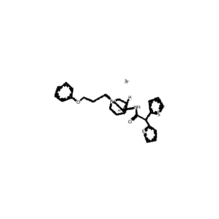 O=C(N[C@H]1C[N+]2(CCCOc3ccccc3)CCC1CC2)C(c1cccs1)c1cccs1.[Br-]